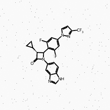 O=C1[C@@H](C2CC2)C(c2c(F)cc(-n3ccc(C(F)(F)F)n3)cc2F)N1c1ccc2[nH]cnc2c1